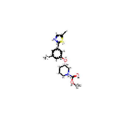 Cc1cnc(-c2cc(C#N)cc(O[C@H]3CCCN(C(=O)OC(C)(C)C)C3)c2)s1